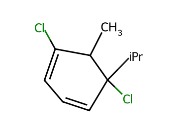 CC(C)C1(Cl)C=CC=C(Cl)C1C